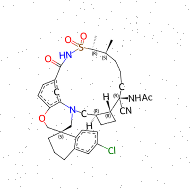 CC(=O)N[C@]1(C#N)CCC[C@H](C)[C@@H](C)S(=O)(=O)NC(=O)c2ccc3c(c2)N(C[C@@H]2CC[C@H]21)C[C@@]1(CCCc2cc(Cl)ccc21)CO3